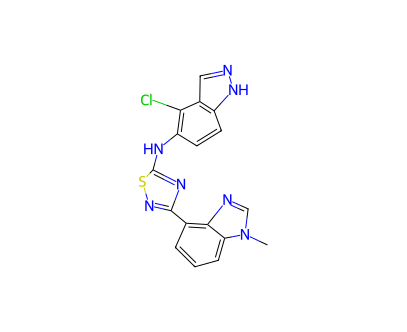 Cn1cnc2c(-c3nsc(Nc4ccc5[nH]ncc5c4Cl)n3)cccc21